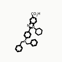 O=C(O)c1ccc2c(c1)nc(-c1ccc(N(Cc3ccccc3)Cc3ccccc3)cc1)n2C1CCCCC1